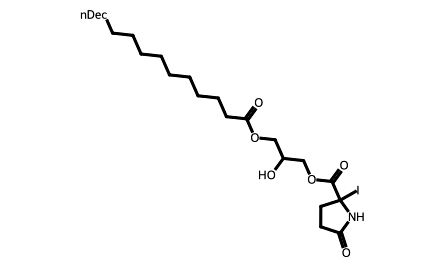 CCCCCCCCCCCCCCCCCCCC(=O)OCC(O)COC(=O)C1(I)CCC(=O)N1